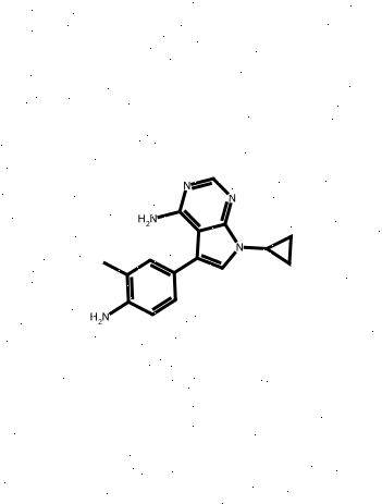 Cc1cc(-c2cn(C3CC3)c3ncnc(N)c23)ccc1N